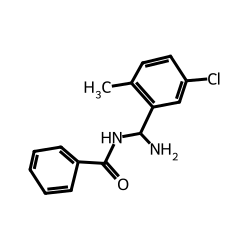 Cc1ccc(Cl)cc1C(N)NC(=O)c1ccccc1